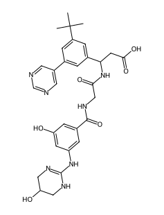 CC(C)(C)c1cc(-c2cncnc2)cc(C(CC(=O)O)NC(=O)CNC(=O)c2cc(O)cc(NC3=NCC(O)CN3)c2)c1